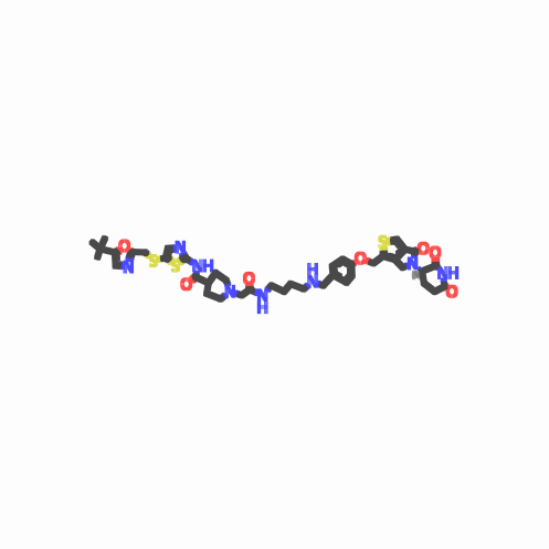 CC(C)(C)c1cnc(CSc2cnc(NC(=O)C3CCN(CC(=O)NCCCCNCc4ccc(OCc5scc6c5CN([C@H]5CCC(=O)NC5=O)C6=O)cc4)CC3)s2)o1